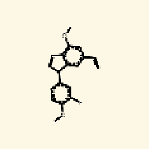 C=Cc1cc(OC)c2c(c1)C(c1ccc(OC)c(F)c1)C=C2